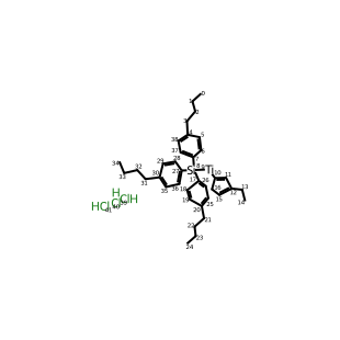 CCCCc1ccc([Si]([Ti][C]2=CC(CC)=CC2)(c2ccc(CCCC)cc2)c2ccc(CCCC)cc2)cc1.Cl.Cl.Cl